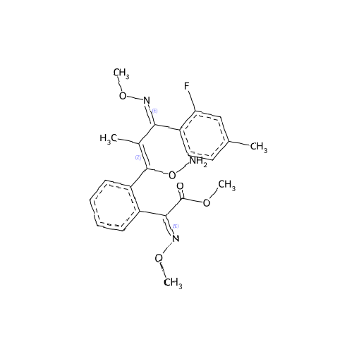 CO/N=C(\C(C)=C(/ON)c1ccccc1/C(=N\OC)C(=O)OC)c1ccc(C)cc1F